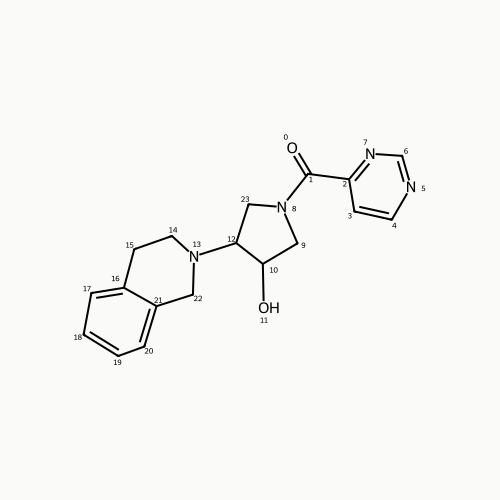 O=C(c1ccncn1)N1CC(O)C(N2CCc3ccccc3C2)C1